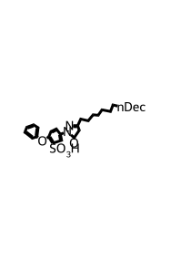 CCCCCCCCCCCCCCCCCC1=NN(c2ccc(Oc3ccccc3)c(S(=O)(=O)O)c2)C(=O)C1